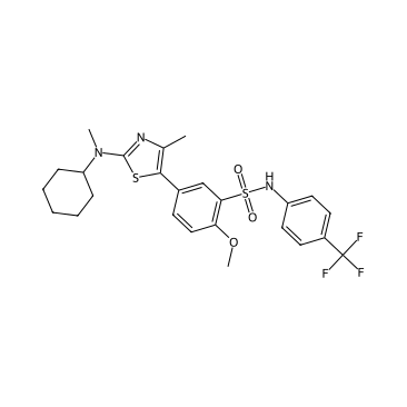 COc1ccc(-c2sc(N(C)C3CCCCC3)nc2C)cc1S(=O)(=O)Nc1ccc(C(F)(F)F)cc1